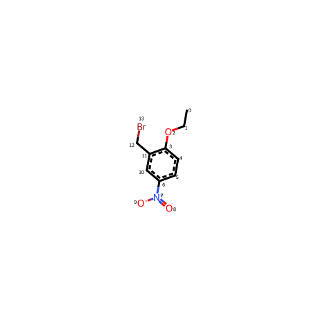 CCOc1ccc([N+](=O)[O-])cc1CBr